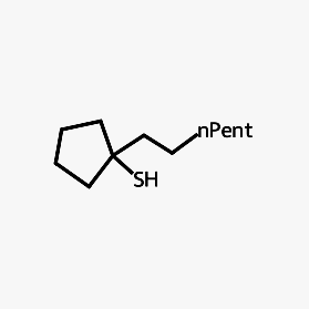 CCCCCCCC1(S)CCCC1